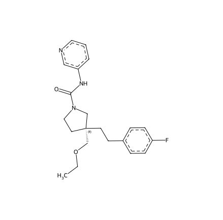 CCOC[C@]1(CCc2ccc(F)cc2)CCN(C(=O)Nc2cccnc2)C1